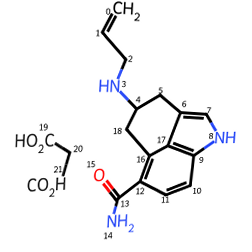 C=CCNC1Cc2c[nH]c3ccc(C(N)=O)c(c23)C1.O=C(O)CC(=O)O